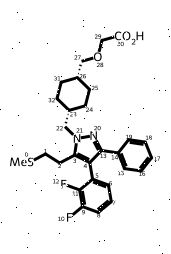 CSCCc1c(-c2cccc(F)c2F)c(-c2ccccc2)nn1C[C@H]1CC[C@@H](COCC(=O)O)CC1